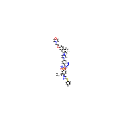 O=[N+]([O-])c1cc(S(=O)(=O)Nc2ncnc3cc(N4CCN(Cc5ccccc5-c5ccc(OCCN6CCOCC6)cc5)CC4)ccc23)ccc1NCCSc1ccccc1